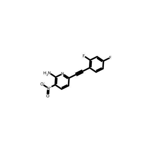 Nc1nc(C#Cc2ccc(F)cc2F)ccc1[N+](=O)[O-]